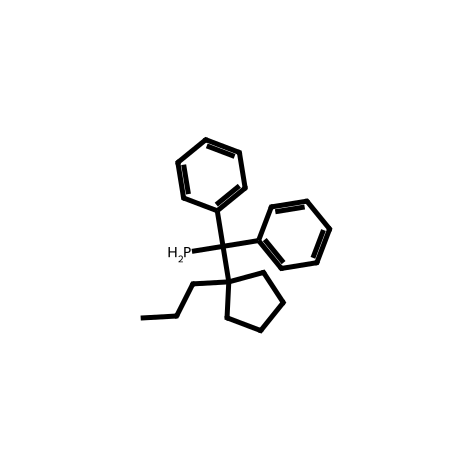 CCCC1(C(P)(c2ccccc2)c2ccccc2)CCCC1